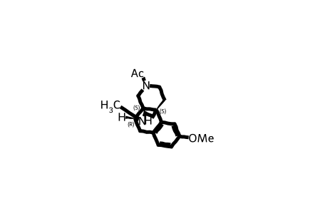 COc1ccc2c(c1)[C@@]13CCN(C(C)=O)C[C@H]1[C@@H](C2)N(C)CC3